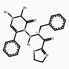 CC(=O)N1C=C(c2ccccc2)N(N(C(C)=O)[C@@H](Cc2ccccc2)C(=O)C2=NCCS2)C(=O)C1C(C)C